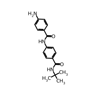 CC(C)(C)NC(=O)c1ccc(NC(=O)c2ccc(N)cc2)cc1